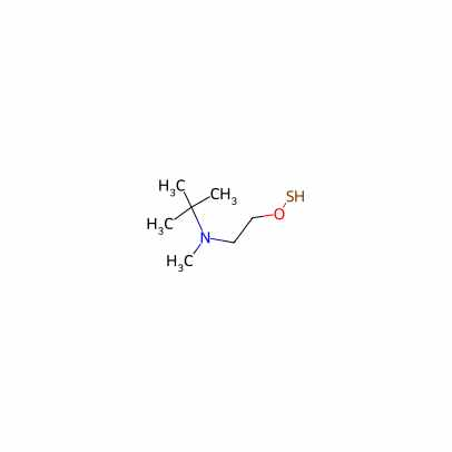 CN(CCOS)C(C)(C)C